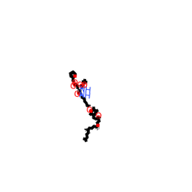 Cc1c(C)c2c(c(C)c1OCCCCCCNC(=O)[C@H](CCC(=O)OCc1ccccc1)NC(=O)OC(C)(C)C)CC[C@@](C)(CCC[C@H](C)CCC[C@H](C)CCCC(C)C)O2